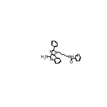 Nc1nc2ccccc2c2c1nc(-c1ccccc1)n2CCCCNC(=O)c1cccnc1